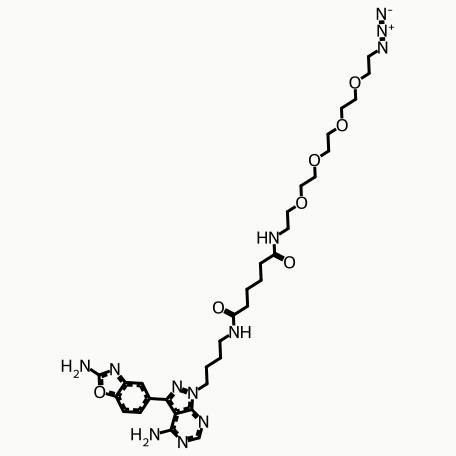 [N-]=[N+]=NCCOCCOCCOCCOCCNC(=O)CCCCC(=O)NCCCCn1nc(-c2ccc3oc(N)nc3c2)c2c(N)ncnc21